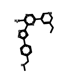 CCC1=CC(c2cnc(N)c(-c3cc(-c4ccc(CNC)cc4)no3)n2)=CNC1